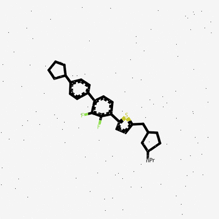 CCCC1CCC(Cc2ccc(-c3ccc(-c4ccc(C5CCCC5)cc4)c(F)c3F)s2)C1